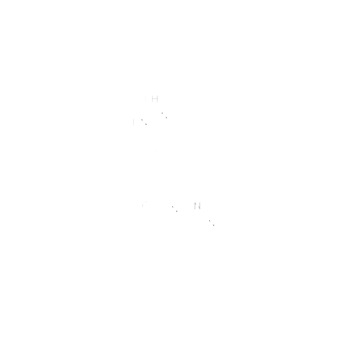 Cc1nc2ccc(-c3ccc4c(c3)CN(c3ncnc5c3CCCC5)CCO4)cc2[nH]1